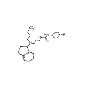 O=C(O)CCCN(CCCNC(=O)Nc1ccc(Br)cc1)C1CCc2ccccc21